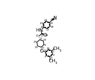 Cc1cc(C)cc(O[C@H]2CC[C@@H](CC(=O)Nc3ccc(C#N)cc3)CC2)c1